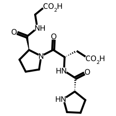 O=C(O)CNC(=O)[C@@H]1CCCN1C(=O)[C@H](CC(=O)O)NC(=O)[C@@H]1CCCN1